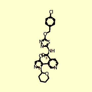 Cc1cnn(C2CCCCO2)c1-c1cnccc1C(=O)Nc1nnc(OCc2ccc(Cl)cc2)s1